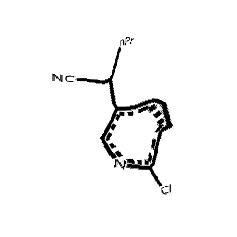 CCCC(C#N)c1ccc(Cl)nc1